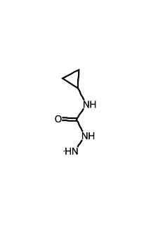 [NH]NC(=O)NC1CC1